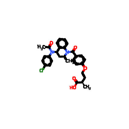 CC(=O)N(c1ccc(Cl)cc1)C1CC(C)N(C(=O)c2ccc(OCC[C@H](C)C(=O)O)cc2)c2ccccc21